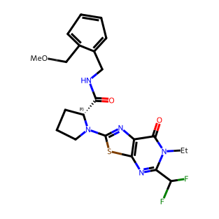 CCn1c(C(F)F)nc2sc(N3CCC[C@@H]3C(=O)NCc3ccccc3COC)nc2c1=O